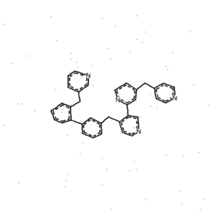 c1cncc(Cc2ccccc2-c2cccc(Cc3ccncc3-c3cc(Cc4ccncc4)ccn3)c2)c1